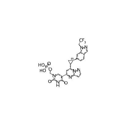 O=c1[nH]c(=O)n(COP(=O)(O)O)cc1-c1cc(C2C[C@H]2c2ccc3cnn(CC(F)(F)F)c3c2)n2nccc2n1